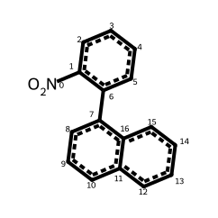 O=[N+]([O-])c1[c]cccc1-c1cccc2ccccc12